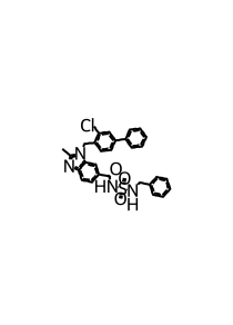 Cc1nc2ccc(C(=O)NS(=O)(=O)NCc3ccccc3)cc2n1Cc1ccc(-c2ccccc2)cc1Cl